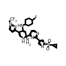 NC1(c2ccnc(-c3cnn(S(=O)(=O)C4CC4)c3)n2)C=C(NC2CCC(F)CC2)C(c2ccn(CC(F)(F)F)n2)=CN1